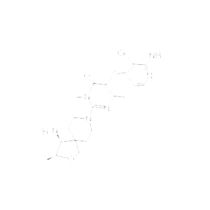 Cc1nc(N2CCC3(CC2)CO[C@@H](C)[C@H]3N)n(C)c(=O)c1Sc1ccnc(N)c1Cl